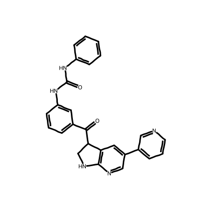 O=C(Nc1ccccc1)Nc1cccc(C(=O)C2CNc3ncc(-c4cccnc4)cc32)c1